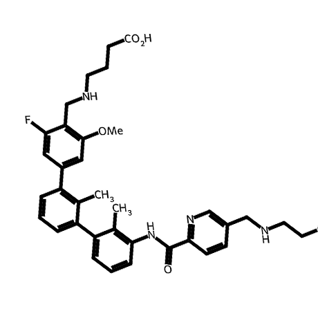 COc1cc(-c2cccc(-c3cccc(NC(=O)c4ccc(CNCCO)cn4)c3C)c2C)cc(F)c1CNCCCC(=O)O